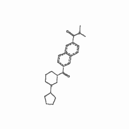 CN(C)C(=O)c1ccc2cc(C(=O)C3CCCN(C4CCCC4)C3)ccc2c1